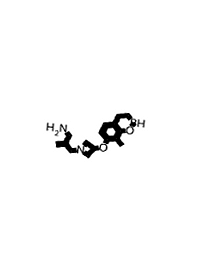 C=C(CN)CN1CC(Oc2ccc3c(c2C)OBCC3)C1